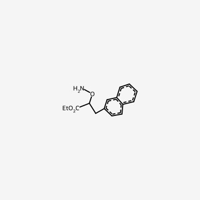 CCOC(=O)C(Cc1ccc2ccccc2c1)ON